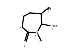 CSC1C(C(C)C)CCCC(=O)N1C